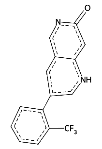 O=c1cc2[nH]cc(-c3ccccc3C(F)(F)F)cc-2cn1